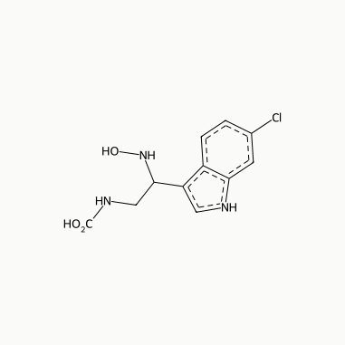 O=C(O)NCC(NO)c1c[nH]c2cc(Cl)ccc12